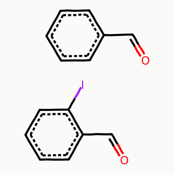 O=Cc1ccccc1.O=Cc1ccccc1I